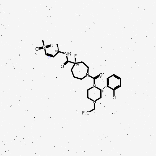 C[C@H](/C=C\S(C)(=O)=O)NC(=O)[C@@]1(F)CCCN(C(=O)N2CCN(CC(F)(F)F)C[C@H]2c2ccccc2Cl)CC1